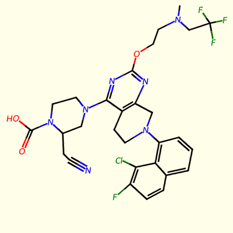 CN(CCOc1nc2c(c(N3CCN(C(=O)O)C(CC#N)C3)n1)CCN(c1cccc3ccc(F)c(Cl)c13)C2)CC(F)(F)F